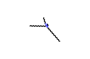 CCCCCCCCCCCCCCCCN1C=CN(CCCCCC)C1CCCCCCCCCCCCC